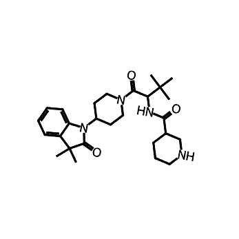 CC1(C)C(=O)N(C2CCN(C(=O)C(NC(=O)C3CCCNC3)C(C)(C)C)CC2)c2ccccc21